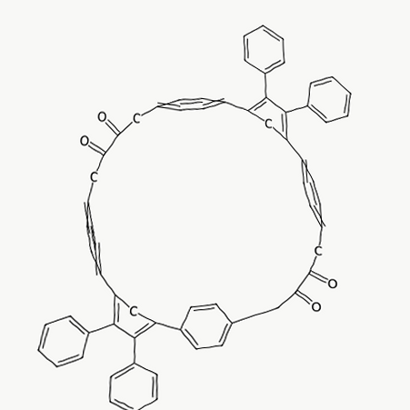 O=C1Cc2ccc(cc2)C2=C(c3ccccc3)C(c3ccccc3)=C(C2)c2ccc(cc2)CC(=O)C(=O)Cc2ccc(cc2)C2=C(c3ccccc3)C(c3ccccc3)=C(C2)c2ccc(cc2)CC1=O